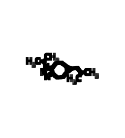 CC(C)CC1C2CCc3nnn(C(C)C)c3CCC21